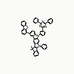 CC1(C)c2ccccc2-c2c1c1cc3c4cc(-c5cccc6c5sc5ccccc56)ccc4n(-c4cccc(-c5nc(-c6ccccc6)nc(-c6ccccc6)n5)c4)c3cc1n2-c1ccccc1